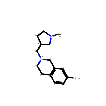 [2H]c1ccc2c(c1)CN(CC1CCN(C(C)=O)C1)CC2